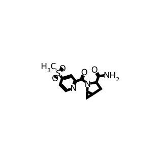 CS(=O)(=O)c1ccnc(C(=O)N2C(C(N)=O)CC3CC32)c1